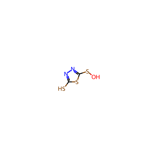 OSc1nnc(S)s1